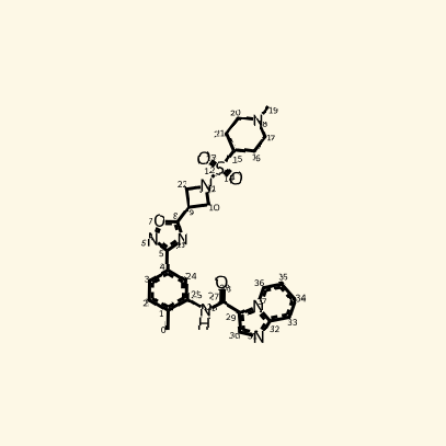 Cc1ccc(-c2noc(C3CN(S(=O)(=O)C4CCN(C)CC4)C3)n2)cc1NC(=O)c1cnc2ccccn12